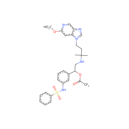 CC(C)(CCn1cnc2cnc(OC(=O)O)cc21)NCC(OC(=O)C(F)(F)F)c1cccc(NS(=O)(=O)c2ccccc2)c1